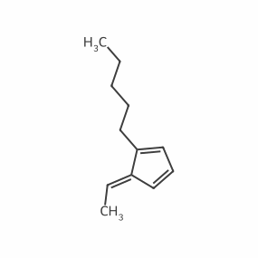 CC=C1C=CC=C1CCCCC